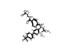 CC(=O)CCNC(=O)c1ccc(N[C@@H](CC(C)C)c2ccc(-c3ccc(C(F)(F)F)cc3)nc2)nc1